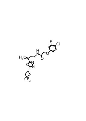 C=C(CCNC(=O)COc1ccc(Cl)c(F)c1)c1nnc([C@H]2C[C@@H](C(F)(F)F)C2)o1